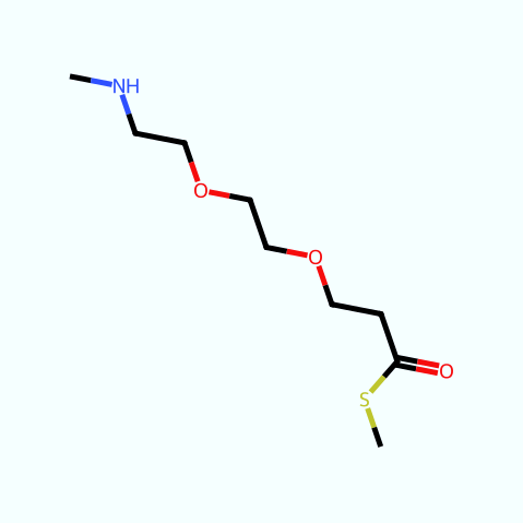 CNCCOCCOCCC(=O)SC